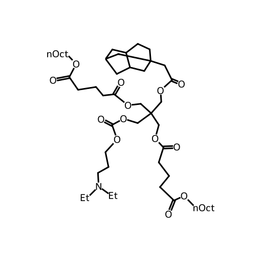 CCCCCCCCOC(=O)CCCC(=O)OCC(COC(=O)CCCC(=O)OCCCCCCCC)(COC(=O)CC12CCC3CC(CC3C1)C2)COC(=O)OCCCN(CC)CC